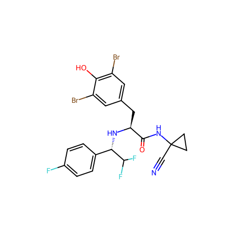 N#CC1(NC(=O)[C@H](Cc2cc(Br)c(O)c(Br)c2)N[C@@H](c2ccc(F)cc2)C(F)F)CC1